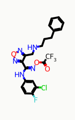 O=C(ON=C(Nc1ccc(F)c(Cl)c1)c1nonc1CNCCCc1ccccc1)C(F)(F)F